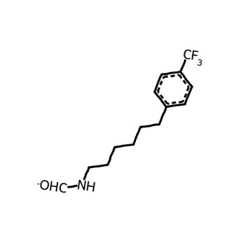 O=[C]NCCCCCCc1ccc(C(F)(F)F)cc1